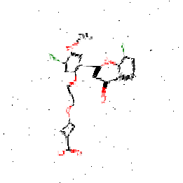 COc1cc(-c2cc(=O)c3cccc(Cl)c3o2)c(OCCOC2CC(C(=O)O)C2)cc1Br